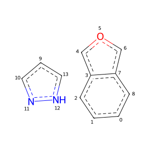 c1ccc2cocc2c1.c1cn[nH]c1